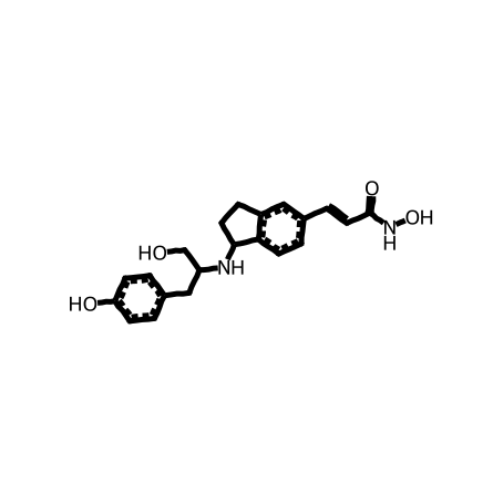 O=C(/C=C/c1ccc2c(c1)CCC2NC(CO)Cc1ccc(O)cc1)NO